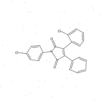 O=C1C(c2ccccc2)=C(c2ccccc2Cl)C(=O)N1c1ccc(Cl)cc1